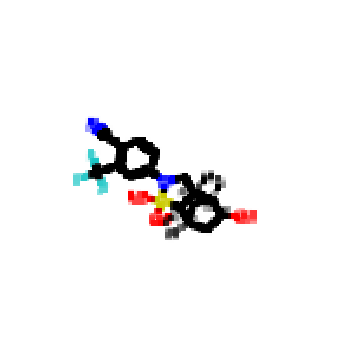 C[C@@]12[C@H]3C[C@H]([C@@H](O)C3)[C@@H]1CN(c1ccc(C#N)c(C(F)(F)F)c1)S2(O)O